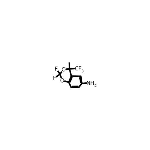 CC1(C(F)(F)F)OC(F)(F)Oc2ccc(N)cc21